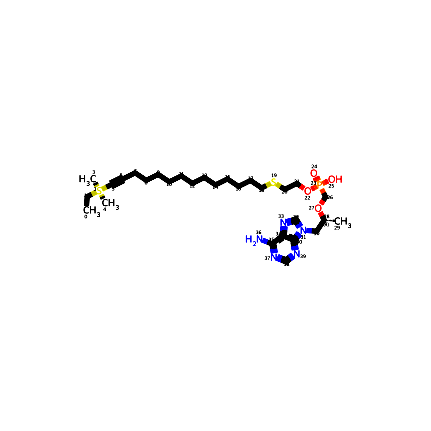 CCS(C)(C)C#CCCCCCCCCCCCCSCCOP(=O)(O)CO[C@H](C)Cn1cnc2c(N)ncnc21